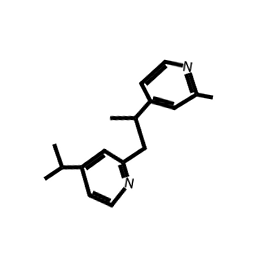 Cc1cc(C(C)Cc2cc(C(C)C)ccn2)ccn1